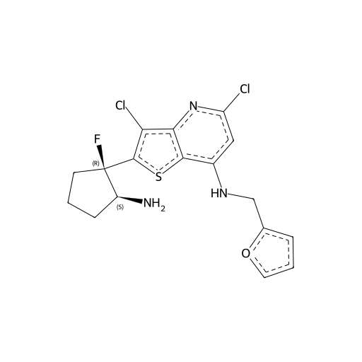 N[C@H]1CCC[C@]1(F)c1sc2c(NCc3ccco3)cc(Cl)nc2c1Cl